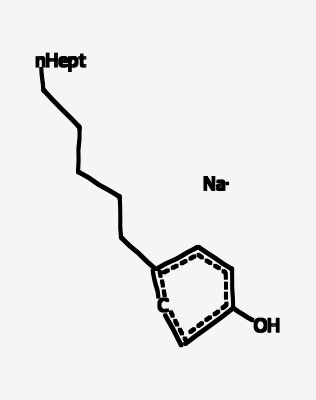 CCCCCCCCCCCCc1ccc(O)cc1.[Na]